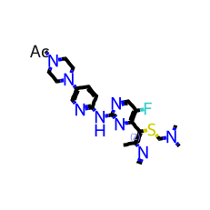 C=N/C(C)=C(\SCN(C)C)c1nc(Nc2ccc(N3CCN(C(C)=O)CC3)cn2)ncc1F